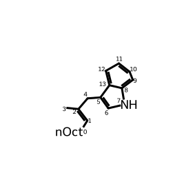 CCCCCCCCC=C(C)Cc1c[nH]c2ccccc12